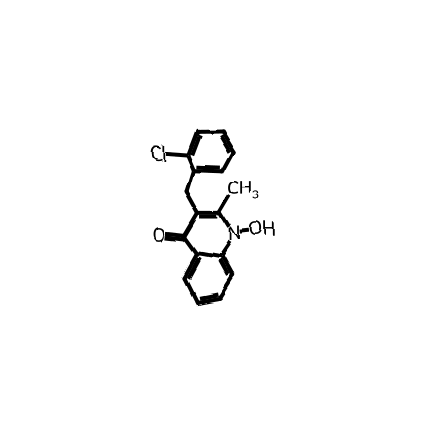 Cc1c(Cc2ccccc2Cl)c(=O)c2ccccc2n1O